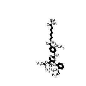 COc1cc(Nc2ncc(C(=O)OC(C)C)c(Nc3ccccc3N(C)SC)n2)ccc1C(=O)NCCCCCCC(=O)NO